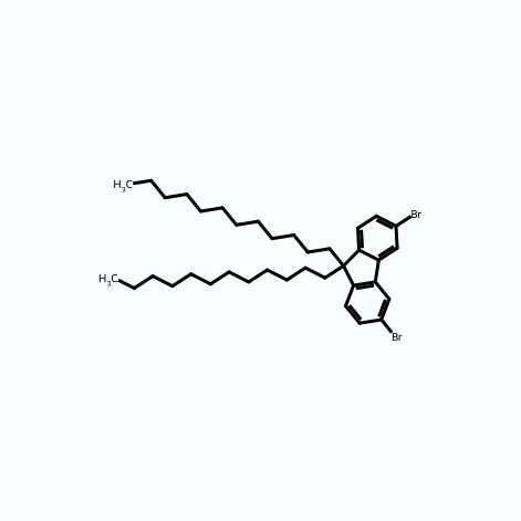 CCCCCCCCCCCCC1(CCCCCCCCCCCC)c2ccc(Br)cc2-c2cc(Br)ccc21